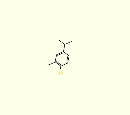 Cc1cc(C(C)C)ccc1S